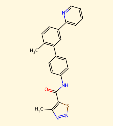 Cc1ccc(-c2ccccn2)cc1-c1ccc(NC(=O)c2snnc2C)cc1